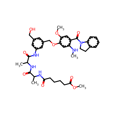 CNc1cc(OCc2cc(CO)cc(NC(=O)C(C)NC(=O)C(C)NC(=O)CCCCC(=O)OC)c2)c(OC)cc1C(=O)N1CCc2ccccc21